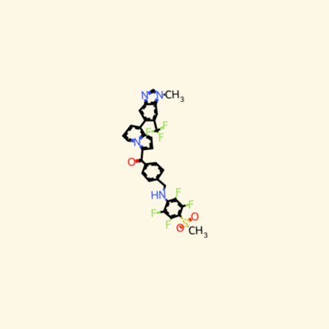 Cn1cnc2cc(-c3cccn4c(C(=O)c5ccc(CNc6c(F)c(F)c(S(C)(=O)=O)c(F)c6F)cc5)ccc34)c(C(F)(F)F)cc21